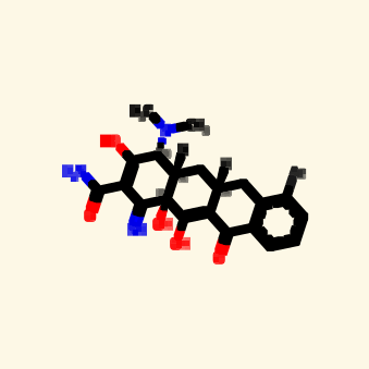 CC(=O)c1cccc2c1C[C@H]1C[C@H]3[C@@H](N(C)C)C(O)=C(C(N)=O)C(=N)[C@@]3(O)C(O)=C1C2=O